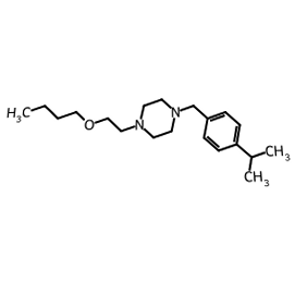 CCCCOCCN1CCN(Cc2ccc(C(C)C)cc2)CC1